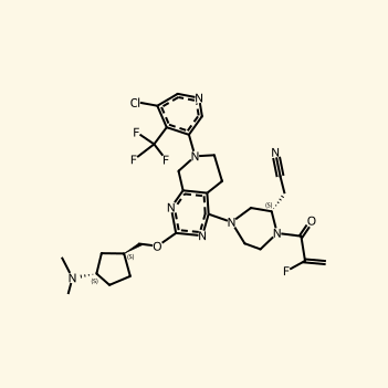 C=C(F)C(=O)N1CCN(c2nc(OC[C@H]3CC[C@H](N(C)C)C3)nc3c2CCN(c2cncc(Cl)c2C(F)(F)F)C3)C[C@@H]1CC#N